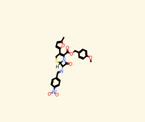 COc1ccc(COC(=O)C2=C(c3ccc(C)o3)CS[C@H]3[C@@H](N=Cc4ccc([N+](=O)[O-])cc4)C(=O)N23)cc1